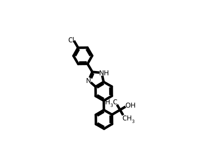 CC(C)(O)c1ccccc1-c1ccc2[nH]c(-c3ccc(Cl)cc3)nc2c1